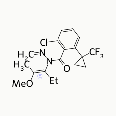 C=NN(C(=O)c1c(Cl)cccc1C1(C(F)(F)F)CC1)/C(CC)=C(\C)OC